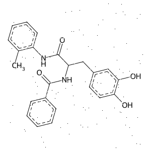 Cc1ccccc1NC(=O)C(Cc1ccc(O)c(O)c1)NC(=O)c1ccccc1